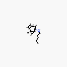 CCCC/C=N\C1=C(C)[C@H]2CCC2[C@H]2CC12